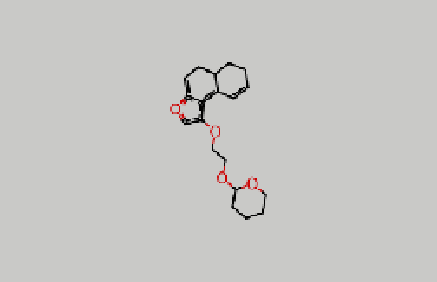 C1=CC2=c3c(OCCOC4CCCCO4)coc3=CCC2CC1